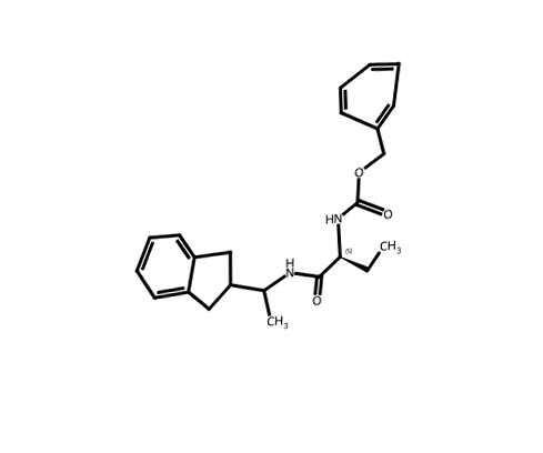 CC[C@H](NC(=O)OCc1ccccc1)C(=O)NC(C)C1Cc2ccccc2C1